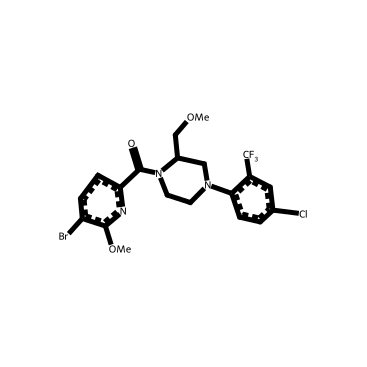 COCC1CN(c2ccc(Cl)cc2C(F)(F)F)CCN1C(=O)c1ccc(Br)c(OC)n1